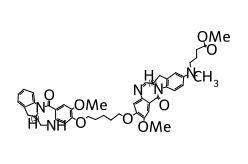 COC(=O)CCCN(C)c1ccc2c(c1)C[C@H]1C=Nc3cc(OCCCCCOc4cc5c(cc4OC)C(=O)N4c6ccccc6C[C@H]4CN5)c(OC)cc3C(=O)N21